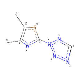 Cc1nc(-n2ncnn2)sc1C